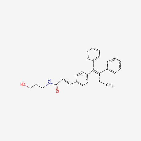 CCC(=C(c1ccccc1)c1ccc(C=CC(=O)NCCCO)cc1)c1ccccc1